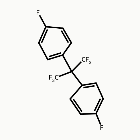 Fc1ccc(C(c2ccc(F)cc2)(C(F)(F)F)C(F)(F)F)cc1